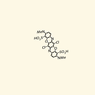 CNc1ccc2c(c1S(=O)(=O)O)Oc1c(Cl)c3c(c(Cl)c1=N2)Oc1c(ccc(NC)c1S(=O)(=O)O)N=3